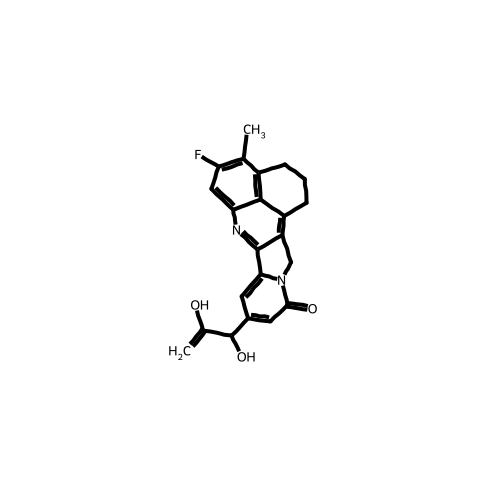 C=C(O)C(O)c1cc2n(c(=O)c1)Cc1c-2nc2cc(F)c(C)c3c2c1CCC3